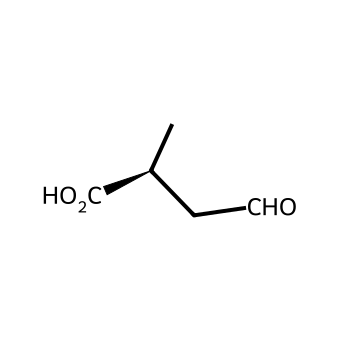 C[C@@H](CC=O)C(=O)O